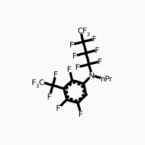 CCCN(c1cc(F)c(F)c(C(F)(F)C(F)(F)F)c1F)C(F)(F)C(F)(F)C(F)(F)C(F)(F)F